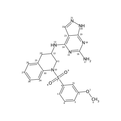 COc1cccc(S(=O)(=O)N2CC(Nc3nc(N)nc4[nH]ncc34)Cc3ccccc32)c1